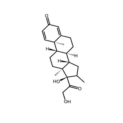 CC1C[C@H]2[C@@H]3CCC4=CC(=O)C=C[C@]4(C)[C@H]3CC[C@]2(C)[C@@]1(O)C(=O)CO